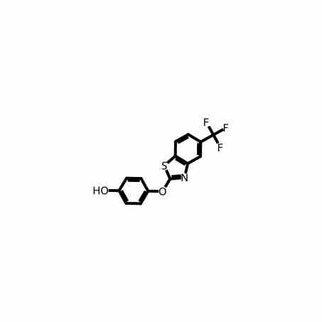 Oc1ccc(Oc2nc3cc(C(F)(F)F)ccc3s2)cc1